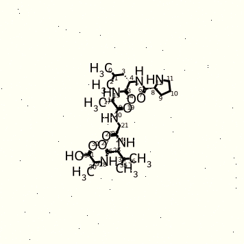 CC(C)C[C@H](NC(=O)[C@@H]1CCCN1)C(=O)N[C@@H](C)C(=O)NCC(=O)N[C@H](C(=O)N[C@@H](C)C(=O)O)C(C)C